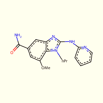 CCCn1c(Nc2ccccn2)nc2cc(C(N)=O)cc(OC)c21